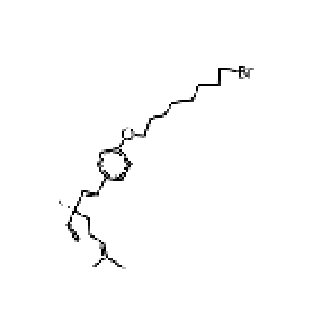 C=C[C@@](C)(/C=C/c1ccc(OCCCCCCCCBr)cc1)CCC=C(C)C